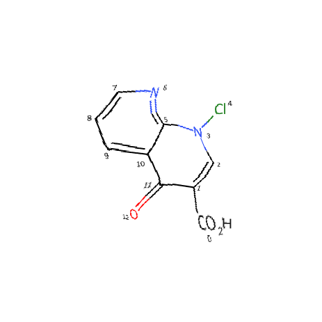 O=C(O)c1cn(Cl)c2ncccc2c1=O